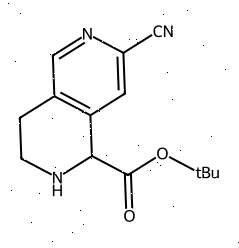 CC(C)(C)OC(=O)C1NCCc2cnc(C#N)cc21